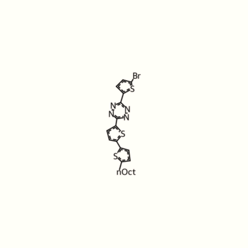 CCCCCCCCc1ccc(-c2ccc(-c3nnc(-c4ccc(Br)s4)nn3)s2)s1